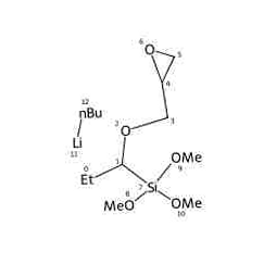 CCC(OCC1CO1)[Si](OC)(OC)OC.[Li][CH2]CCC